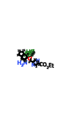 CCOC(=O)c1cnc(COc2cc3c(cc2N)CCC3)cn1.Cl.Cl.Cl